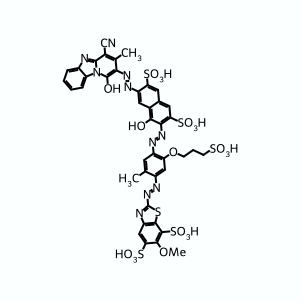 COc1c(S(=O)(=O)O)cc2nc(N=Nc3cc(OCCCS(=O)(=O)O)c(N=Nc4c(S(=O)(=O)O)cc5cc(S(=O)(=O)O)c(N=Nc6c(C)c(C#N)c7nc8ccccc8n7c6O)cc5c4O)cc3C)sc2c1S(=O)(=O)O